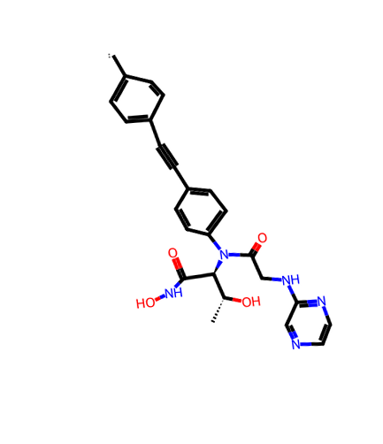 [CH]c1ccc(C#Cc2ccc(N(C(=O)CNc3cnccn3)[C@H](C(=O)NO)[C@@H](C)O)cc2)cc1